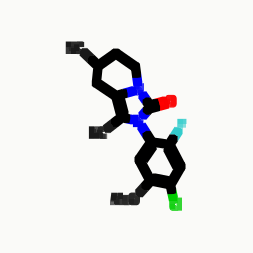 COc1cc(-n2c(C#N)c3n(c2=O)CCC(C#N)C3)c(F)cc1Cl